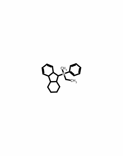 CC[Si](C)(c1ccccc1)C1C2C=CC=CC2C2CCCCC21